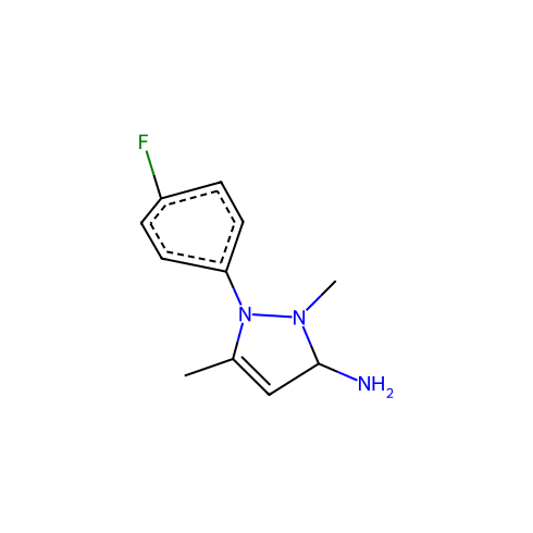 CC1=CC(N)N(C)N1c1ccc(F)cc1